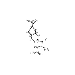 CC(NC(=O)O)C(=O)N1CCc2ccc([N+](=O)[O-])cc2C1